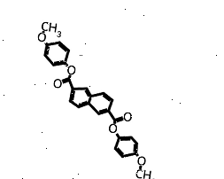 COc1ccc(OC(=O)c2ccc3cc(C(=O)Oc4ccc(OC)cc4)ccc3c2)cc1